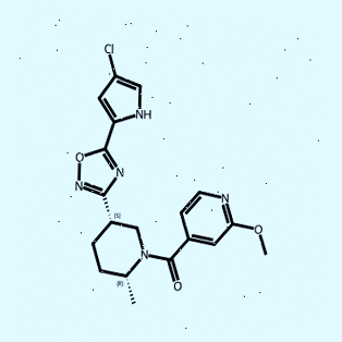 COc1cc(C(=O)N2C[C@@H](c3noc(-c4cc(Cl)c[nH]4)n3)CC[C@H]2C)ccn1